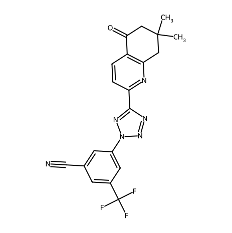 CC1(C)CC(=O)c2ccc(-c3nnn(-c4cc(C#N)cc(C(F)(F)F)c4)n3)nc2C1